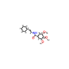 COc1cc(C(=O)NC=Cc2ccccc2)cc(OC)c1OC